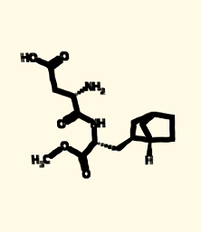 COC(=O)[C@@H](C[C@H]1CC2CC[C@H]1C2)NC(=O)[C@@H](N)CC(=O)O